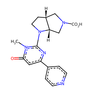 Cn1c(N2CC[C@@H]3CN(C(=O)O)C[C@@H]32)nc(-c2ccncc2)cc1=O